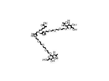 C=C(CCCCN(CC1=CN(CCOCCOCCOCCOC2OC(CO)C(O)C(O)C2NC(C)=O)NN1)Cc1cn(CCOCCOCCOCCOC2OC(CO)C(O)C(O)C2NC(C)=O)nn1)C(=O)O